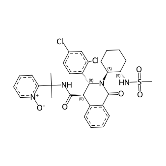 CC(C)(NC(=O)[C@@H]1c2ccccc2C(=O)N([C@H]2CCCC[C@@H]2NS(C)(=O)=O)[C@H]1c1ccc(Cl)cc1Cl)c1cccc[n+]1[O-]